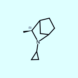 C[C@H]1C2CCC(C2)N1C1CC1